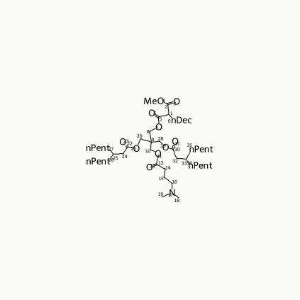 CCCCCCCCCCC(C(=O)OC)C(=O)OCC(COC(=O)CCCN(C)C)(COC(=O)CC(CCCCC)CCCCC)COC(=O)CC(CCCCC)CCCCC